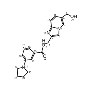 O=C(NCc1cn2cc(CO)ccc2n1)c1cncc(N2CCCC2)c1